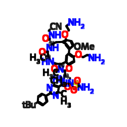 COc1cc(OCCN)c2cc1-c1cc(ccc1OCCN)[C@H](N(C)C(=O)[C@H](CNS(N)(=O)=O)NC(=O)c1c(C)nc(-c3ccc(C(C)(C)C)cc3)nc1C)C(=O)N[C@@H](C)C(=O)N[C@H](C(=O)NCC#N)C2